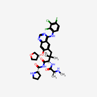 CN[C@@H](C)C(=O)N[C@H](C(=O)NC(=O)[C@@H]1CCCN1)C(C)(C)Cc1cc2c(Nc3ccc(F)c(Cl)c3F)ncnc2cc1O[C@@H]1CCOC1